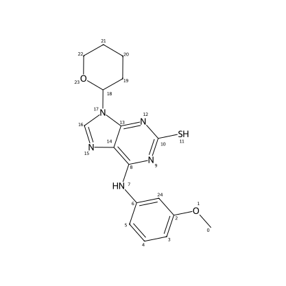 COc1cccc(Nc2nc(S)nc3c2ncn3C2CCCCO2)c1